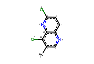 CC(=O)c1cnc2ccc(Cl)nc2c1Cl